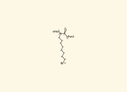 CCCCCCN(CCCCCCCCBr)C(=O)CCCCC